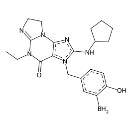 Bc1cc(Cn2c(NC3CCCC3)nc3c2C(=O)N(CC)C2=NCCN23)ccc1O